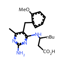 CCCCC(CC(=O)O)Nc1nc(N)nc(C)c1Cc1ccccc1OC